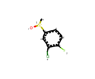 C[S+]([O-])c1ccc(F)c(Cl)c1